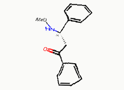 CON[C@@H](CC(=O)c1ccccc1)c1ccccc1